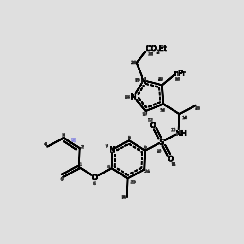 C=C(/C=C\C)Oc1ncc(S(=O)(=O)NC(C)c2cnn(CC(=O)OCC)c2CCC)cc1C